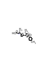 C/C(=C\C(=O)O)c1ccc(C[C@@H](C)OS(=O)(=O)c2ccc(C)cc2)s1